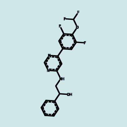 OC(CNc1cc(-c2cc(F)c(OC(F)F)c(F)c2)ncn1)c1ccccc1